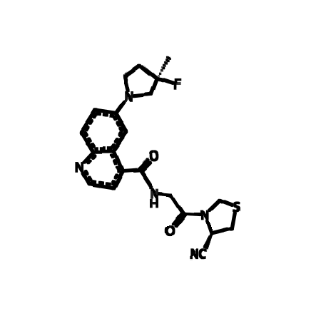 C[C@@]1(F)CCN(c2ccc3nccc(C(=O)NCC(=O)N4CSC[C@H]4C#N)c3c2)C1